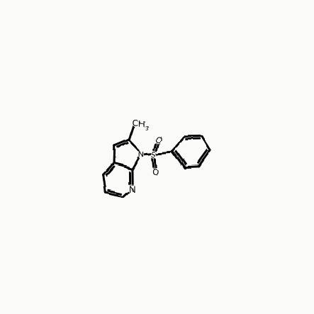 Cc1cc2cccnc2n1S(=O)(=O)c1ccccc1